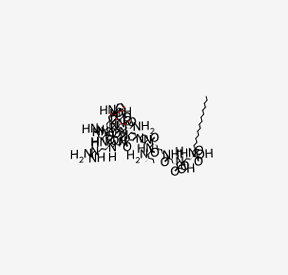 CCCCCCCCCCCCCCCC(=O)N[C@@H](CCC(=O)N[C@@H](CCC(=O)NCCCC[C@H](NC(=O)[C@@H](N)[C@@H](C)CC)C(=O)N1CCN(c2ccc3ncn(CC(=O)N[C@@H](CCCNC(=N)N)C(=O)N[C@@H](Cc4c[nH]cn4)C(=O)N[C@@H](Cc4ccc(O)cc4)C(=O)N[C@@H](CC(C)C)C(=O)N[C@@H](CC(N)=O)C(=O)N[C@@H](Cc4c[nH]c5ccccc45)C(=O)NC)c(=O)c3c2)CC1)C(=O)O)C(=O)O